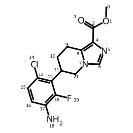 COC(=O)c1ncn2c1CCC(c1c(Cl)ccc(N)c1F)C2